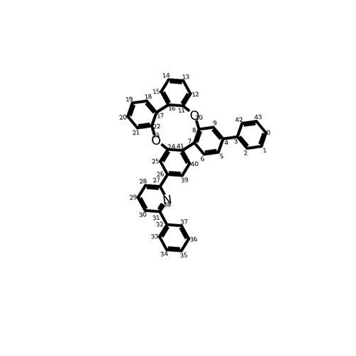 c1ccc(-c2ccc3c(c2)Oc2ccccc2-c2ccccc2Oc2cc(-c4cccc(-c5ccccc5)n4)ccc2-3)cc1